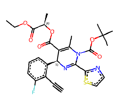 C#Cc1c(F)cccc1[C@@H]1N=C(c2nccs2)N(C(=O)OC(C)(C)C)C(C)=C1C(=O)O[C@H](C)C(=O)OCC